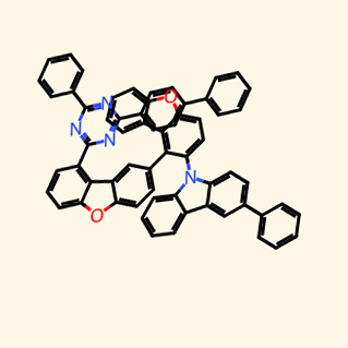 c1ccc(-c2ccc(-c3nc(-c4ccccc4)nc(-c4cccc5oc6ccc(-c7c(-n8c9ccccc9c9cc(-c%10ccccc%10)ccc98)ccc8oc9ccccc9c78)cc6c45)n3)cc2)cc1